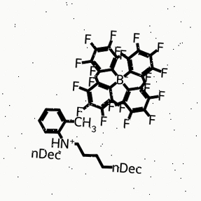 CCCCCCCCCCCCCC[NH+](CCCCCCCCCC)c1ccccc1C.Fc1c(F)c(F)c([B-](c2c(F)c(F)c(F)c(F)c2F)(c2c(F)c(F)c(F)c(F)c2F)c2c(F)c(F)c(F)c(F)c2F)c(F)c1F